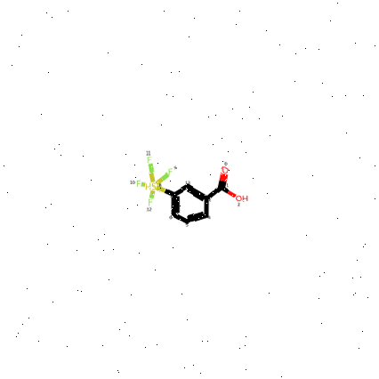 O=C(O)c1cccc([SH](F)(F)(F)F)c1